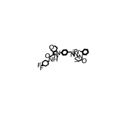 CC(C)c1ccccc1N1C(=O)CSC1=NN=Cc1ccc(-n2nc(C(=O)NC3CCC(F)(F)CC3)c3c2CCOC3)cc1